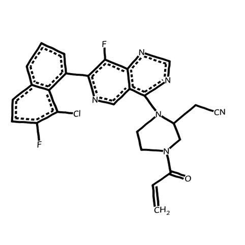 C=CC(=O)N1CCN(c2ncnc3c(F)c(-c4cccc5ccc(F)c(Cl)c45)ncc23)C(CC#N)C1